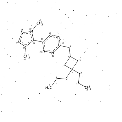 CCCC1(CCC)CC(Cc2ccc(-c3c(C)cnn3C)nn2)C1